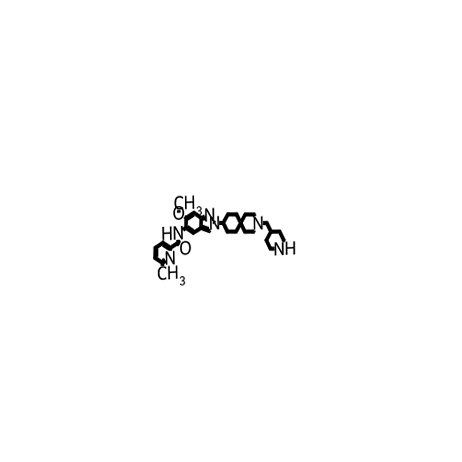 COc1cc2nn(C3CCC4(CC3)CCN(CC3CCNCC3)CC4)cc2cc1NC(=O)c1cccc(C)n1